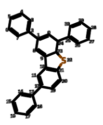 C1=C(c2ccccc2)C=C2c3cc(-c4ccccc4)ccc3SC2C1c1ccccc1